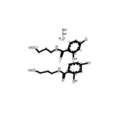 O.O=C([O-])CCCNC(=O)c1ccc(Cl)cc1O.O=C([O-])CCCNC(=O)c1ccc(Cl)cc1O.[Na+].[Na+]